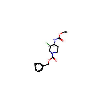 CC(C)(C)OC(=O)N[C@H]1CCN(C(=O)OCc2ccccc2)C[C@H]1F